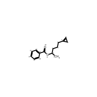 CC(CCCC1=CC1)OC(=O)c1ccccc1